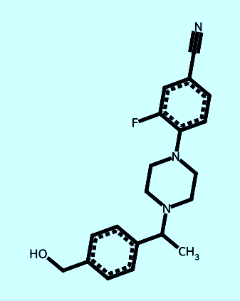 CC(c1ccc(CO)cc1)N1CCN(c2ccc(C#N)cc2F)CC1